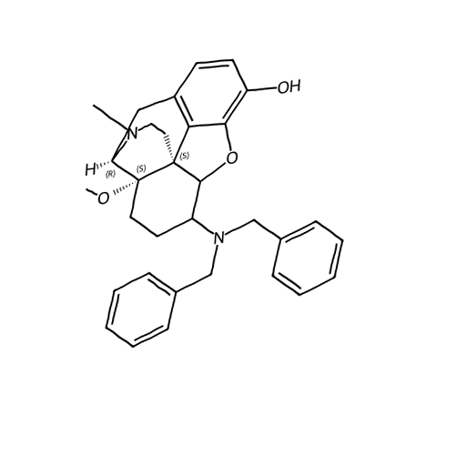 CO[C@@]12CCC(N(Cc3ccccc3)Cc3ccccc3)C3Oc4c(O)ccc5c4[C@@]31CCN(C)[C@@H]2C5